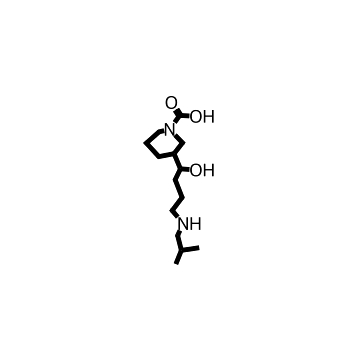 CC(C)CNCCCC(O)C1CCCN(C(=O)O)C1